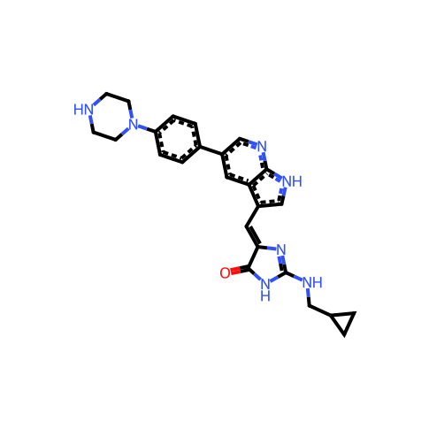 O=C1NC(NCC2CC2)=NC1=Cc1c[nH]c2ncc(-c3ccc(N4CCNCC4)cc3)cc12